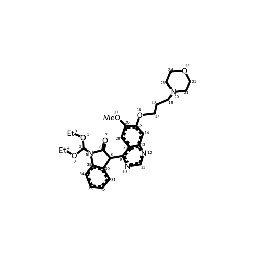 CCOC(OCC)N1C(=O)C(c2ncnc3cc(OCCCN4CCOCC4)c(OC)cc23)c2ccccc21